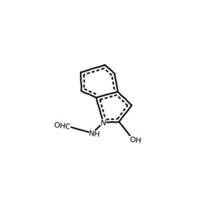 O=CNn1c(O)cc2ccccc21